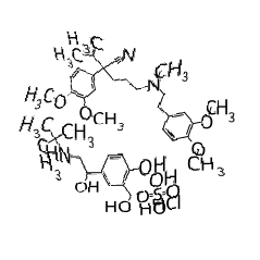 CC(C)(C)NCC(O)c1ccc(O)c(CO)c1.COc1ccc(CCN(C)CCCC(C#N)(c2ccc(OC)c(OC)c2)C(C)C)cc1OC.Cl.O=S(=O)(O)O